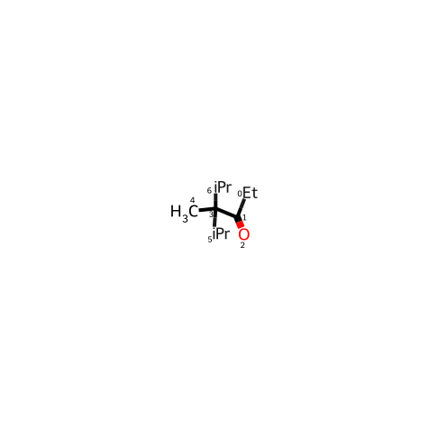 CCC(=O)C(C)(C(C)C)C(C)C